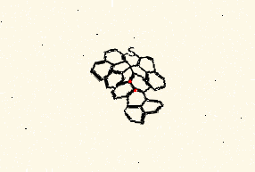 c1ccc(-c2cccc3cccc(-c4ccc(C5(c6ccccc6)c6c(ccc7ccccc67)Sc6ccc7ccccc7c65)cc4)c23)cc1